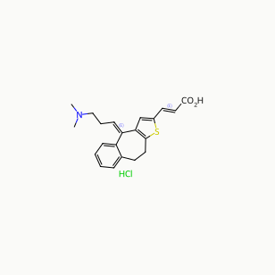 CN(C)CC/C=C1\c2ccccc2CCc2sc(/C=C/C(=O)O)cc21.Cl